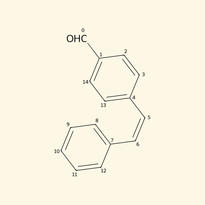 O=Cc1ccc(/C=C\c2ccccc2)cc1